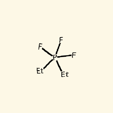 CCP(F)(F)(F)CC